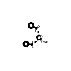 CC(=O)OC1O[C@@H](COC(=O)c2ccccc2)C[C@H]1COC(=O)c1ccccc1